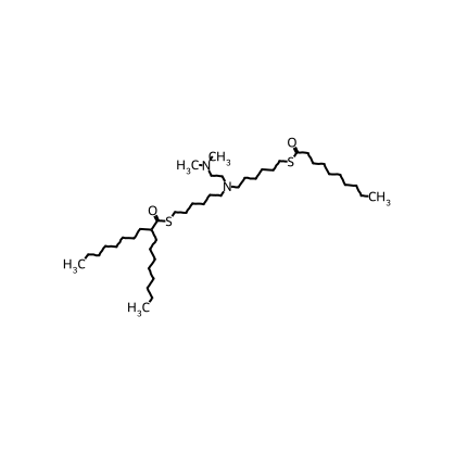 CCCCCCCCCC(=O)SCCCCCCN(CCCCCCSC(=O)C(CCCCCCCC)CCCCCCCC)CCN(C)C